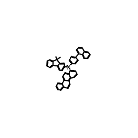 CC1(C)c2ccccc2-c2ccc(N(c3ccc(-c4cccc5ccccc45)cc3)c3cccc4c3ccc3c5ccccc5ccc43)cc21